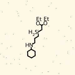 CCOC(C[SiH2]CCCNC1CCCCC1)OCC